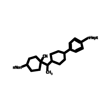 CCCCCCCCCC1CCC(C#N)(C(C)C2CCC(c3ccc(CCCCCCC)cc3)CC2)CC1